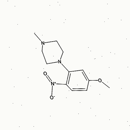 COc1ccc([N+](=O)[O-])c(N2CCN(C)CC2)c1